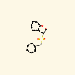 O=S(=O)(Cc1ccccc1)c1coc2ccccc12